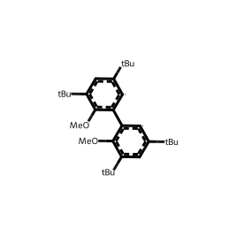 COc1c(-c2[c]c(C(C)(C)C)cc(C(C)(C)C)c2OC)[c]c(C(C)(C)C)cc1C(C)(C)C